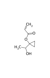 C=CC(=O)OC1(C(C)O)CC1